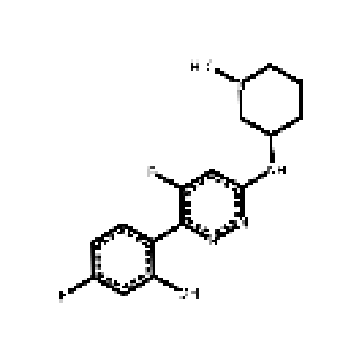 CN1CCC[C@@H](Nc2cc(F)c(-c3ccc(F)cc3O)nn2)C1